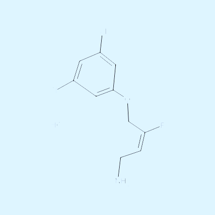 Cl.NC/C=C(/F)COc1cc(Cl)cc(Cl)c1